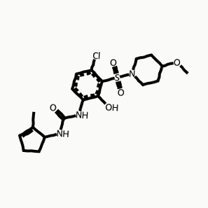 COC1CCN(S(=O)(=O)c2c(Cl)ccc(NC(=O)NC3CCC=C3C)c2O)CC1